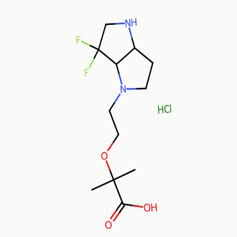 CC(C)(OCCN1CCC2NCC(F)(F)C21)C(=O)O.Cl